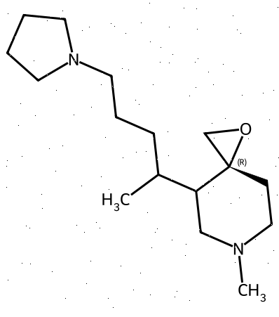 CC(CCCN1CCCC1)C1CN(C)CC[C@]12CO2